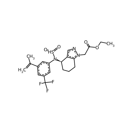 C=C(C)c1cc(N([C@@H]2CCCc3c2cnn3CC(=O)OCC)[SH](=O)=O)cc(C(F)(F)F)c1